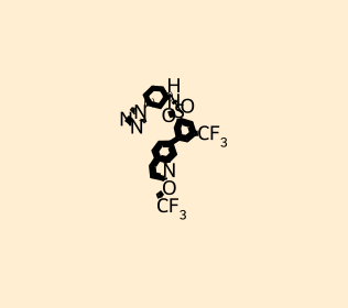 O=S(=O)(N[C@H]1CCC[C@@H](n2cnnc2)C1)c1cc(-c2ccc3ccc(OCC(F)(F)F)nc3c2)cc(C(F)(F)F)c1